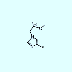 CO[C@@H](C)Cn1cnc(F)c1